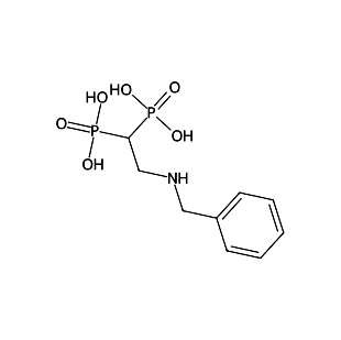 O=P(O)(O)C(CNCc1ccccc1)P(=O)(O)O